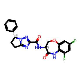 O=C(N[C@H]1COc2cc(F)cc(F)c2NC1=O)c1nc2n(n1)[C@@H](c1ccccc1)CC2